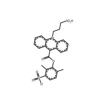 Cc1ccc(S(=O)(=O)Cl)c(C)c1OC(=O)c1c2ccccc2[n+](CCCS(=O)(=O)O)c2ccccc12